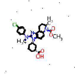 COC(=O)N1c2ccc3c(nc(N(C)c4ccc(Cl)cc4)n3[C@@H]3CCC[C@@H](C(=O)O)C3)c2CC[C@@H]1C